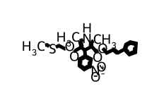 CCSCCOC(=O)C1=C(C)NC(C)=C(C(=O)OCC=Cc2ccccc2)C1c1cccc([N+](=O)[O-])c1